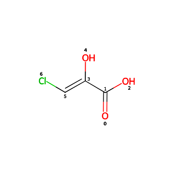 O=C(O)C(O)=CCl